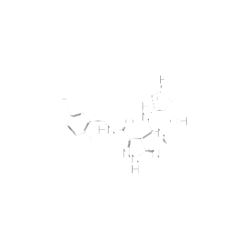 O=C(NCc1cc(F)ccc1F)c1n[nH]c2ncnc(N[C@H]3C[C@@H](F)C[C@@H]3O)c12